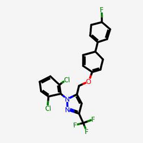 FC1C=CC(C2C=CC(OCc3cc(C(F)(F)F)nn3-c3c(Cl)cccc3Cl)=CC2)=CC1